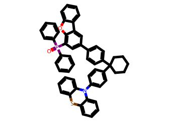 O=P(c1ccccc1)(c1ccccc1)c1cc(-c2ccc(C3(c4ccc(N5c6ccccc6Sc6ccccc65)cc4)CCCCC3)cc2)cc2c1oc1ccccc12